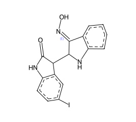 O=C1Nc2ccc(I)cc2C1C1Nc2ccccc2/C1=N\O